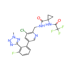 Cn1nnc(-c2c(F)cccc2-c2cnc(CNC(=O)C3(NC(=O)C(F)(F)F)CC3)c(Cl)c2)n1